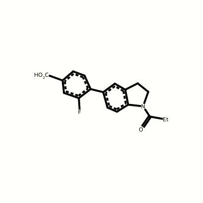 CCC(=O)N1CCc2cc(-c3ccc(C(=O)O)cc3F)ccc21